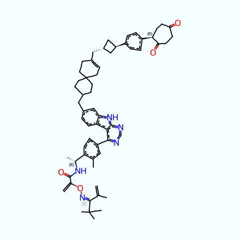 C=C(O/N=C(\C(=C)C)C(C)(C)C)C(=O)N[C@H](C)c1ccc(-c2ncnc3[nH]c4cc(CC5CCC6(CC=C(C[C@H]7C[C@H](c8ccc([C@H]9CCC(=O)CCC9=O)cc8)C7)CC6)CC5)ccc4c23)cc1C